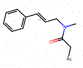 CC(=O)CC(=O)N(C)C/C=C/c1ccccc1